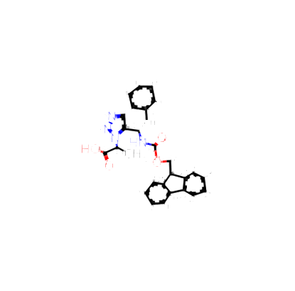 CC(C(=O)O)n1nncc1[C@H](Cc1ccccc1)NC(=O)OCC1c2ccccc2-c2ccccc21